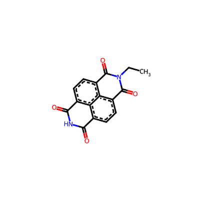 CCN1C(=O)c2ccc3c4c(ccc(c24)C1=O)C(=O)NC3=O